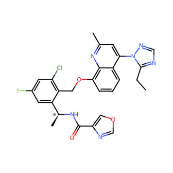 CCc1ncnn1-c1cc(C)nc2c(OCc3c(Cl)cc(F)cc3[C@H](C)NC(=O)c3cocn3)cccc12